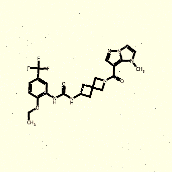 CCOc1ccc(C(F)(F)F)cc1NC(=O)NC1CC2(C1)CN(C(=O)c1cnn3ccn(C)c13)C2